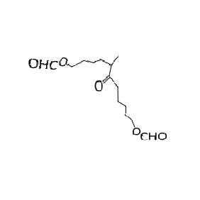 CC(CCCCOC=O)C(=O)CCCCCOC=O